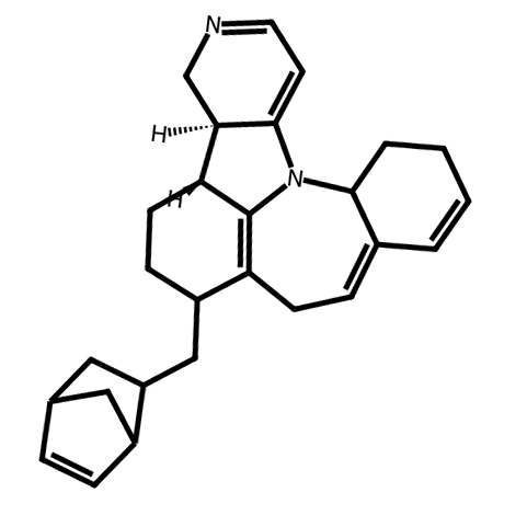 C1=CC2=CCC3=C4[C@H](CCC3CC3CC5C=CC3C5)[C@H]3CN=CC=C3N4C2CC1